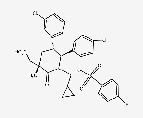 C[C@@]1(CC(=O)O)C[C@H](c2cccc(Cl)c2)[C@@H](c2ccc(Cl)cc2)N([C@H](CS(=O)(=O)c2ccc(F)cc2)C2CC2)C1=O